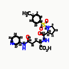 Cc1ccc(S(=O)(=O)N2CCC[C@H]2C(=O)N[C@@H](CCC(=O)Nc2cccnc2)C(=O)O)cc1